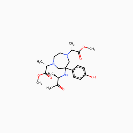 COC(=O)[C@@H](C)N1CCN([C@@H](C)C(=O)OC)CC(N[C@H](C)C(C)=O)(c2ccc(O)cc2)C1